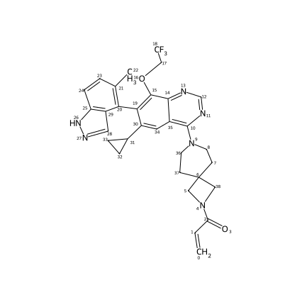 C=CC(=O)N1CC2(CCN(c3ncnc4c(OCC(F)(F)F)c(-c5c(C)ccc6[nH]ncc56)c(C5CC5)cc34)CC2)C1